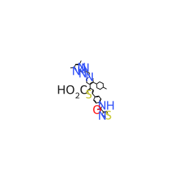 Cc1cc(C)n2nc(CN3CCC(c4cc(-c5ccc(NC(=O)c6cscn6)cc5)sc4C(=O)O)=C(C4CCC(C)CC4)C3)nc2n1